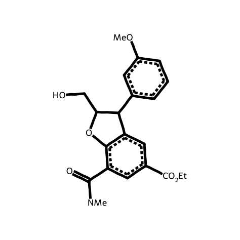 CCOC(=O)c1cc(C(=O)NC)c2c(c1)C(c1cccc(OC)c1)C(CO)O2